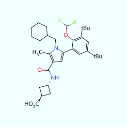 Cc1c(C(=O)N[C@H]2C[C@H](C(=O)O)C2)cc(-c2cc(C(C)(C)C)cc(C(C)(C)C)c2OC(F)F)n1CC1CCCCC1